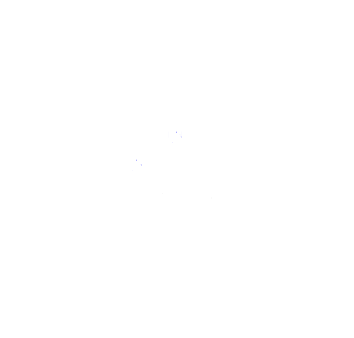 NCC(CN)C(=O)O